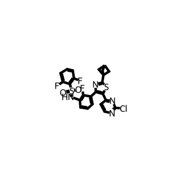 O=S(=O)(Nc1cccc(-c2nc(C34CC(C3)C4)sc2-c2ccnc(Cl)n2)c1F)c1c(F)cccc1F